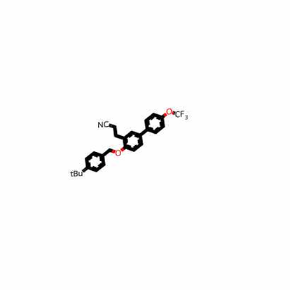 CC(C)(C)c1ccc(COc2ccc(-c3ccc(OC(F)(F)F)cc3)cc2CCC#N)cc1